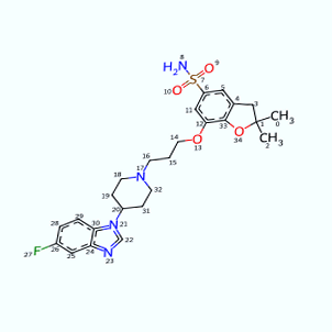 CC1(C)Cc2cc(S(N)(=O)=O)cc(OCCCN3CCC(n4cnc5cc(F)ccc54)CC3)c2O1